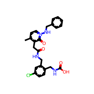 Cc1ccn(NCc2ccccc2)c(=O)c1CC(=O)NCc1cc(Cl)ccc1CNC(=O)O